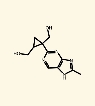 Cc1nc2nc(C3(CO)CC3CO)ncc2[nH]1